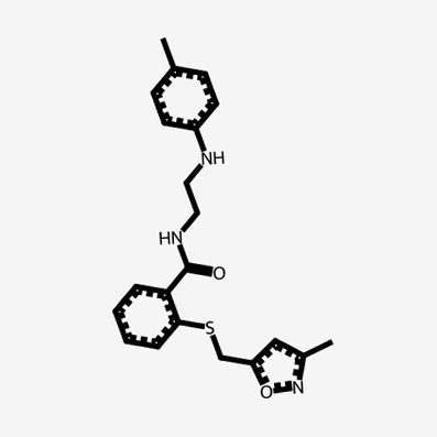 Cc1ccc(NCCNC(=O)c2ccccc2SCc2cc(C)no2)cc1